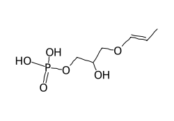 CC=COCC(O)COP(=O)(O)O